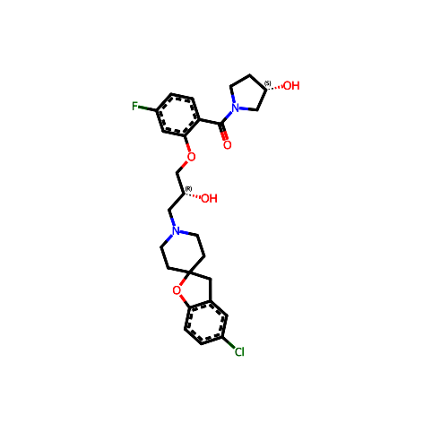 O=C(c1ccc(F)cc1OC[C@H](O)CN1CCC2(CC1)Cc1cc(Cl)ccc1O2)N1CC[C@H](O)C1